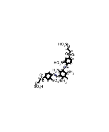 Cc1c(N)c(/N=N/c2ccc(S(=O)(=O)CCOS(=O)(=O)O)cc2S(=O)(=O)O)c(N)c(/N=N/c2ccc(S(=O)(=O)CCOS(=O)(=O)O)cc2S(=O)(=O)O)c1N